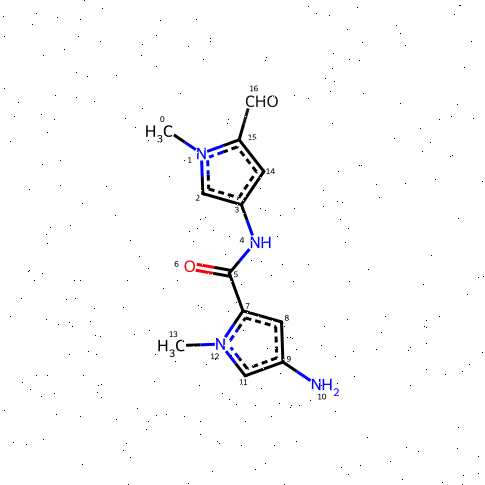 Cn1cc(NC(=O)c2cc(N)cn2C)cc1C=O